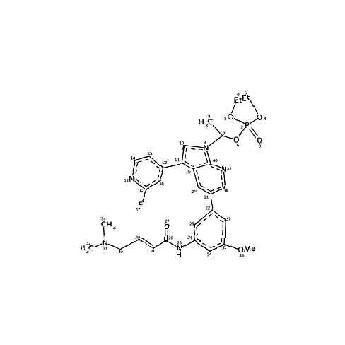 CCOP(=O)(OCC)OC(C)n1cc(-c2ccnc(F)c2)c2cc(-c3cc(NC(=O)C=CCN(C)C)cc(OC)c3)cnc21